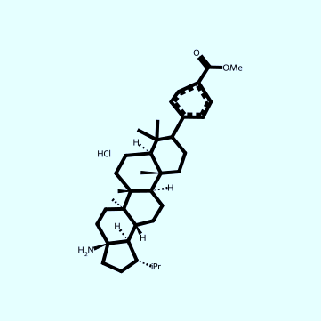 COC(=O)c1ccc(C2CC[C@]3(C)[C@H]4CC[C@@H]5[C@H]6[C@H](C(C)C)CC[C@]6(N)CC[C@@]5(C)[C@]4(C)CC[C@H]3C2(C)C)cc1.Cl